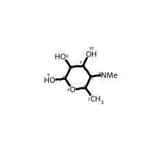 CNC1C(C)OC(O)C(O)C1O